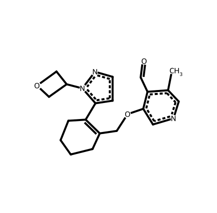 Cc1cncc(OCC2=C(c3ccnn3C3COC3)CCCC2)c1C=O